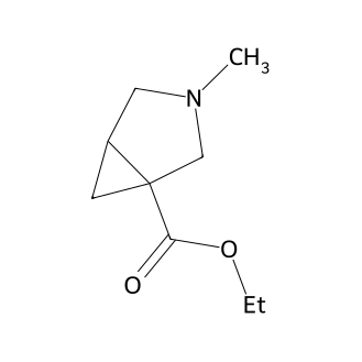 CCOC(=O)C12CC1CN(C)C2